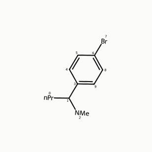 CCCC(NC)c1ccc(Br)cc1